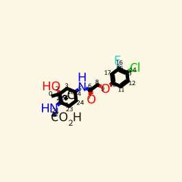 CC1(O)CC2(NC(=O)COc3ccc(Cl)c(F)c3)CCC1(NC(=O)O)CC2